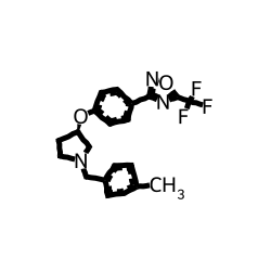 Cc1ccc(CN2CC[C@@H](Oc3ccc(-c4noc(C(F)(F)F)n4)cc3)C2)cc1